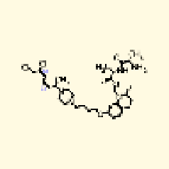 C=C(/C=C\C=C(\Cl)CCl)N1CCN(CCCCOc2ccc3c(c2)N(COC(=O)C(C)NC(=O)C(C)N)C(=O)CC3)CC1